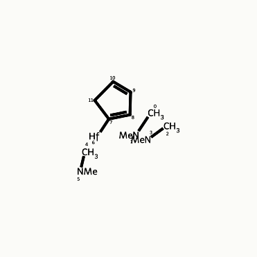 CNC.CNC.CNC.[Hf][C]1=CC=CC1